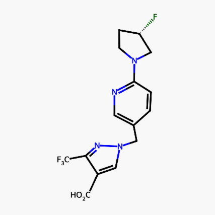 O=C(O)c1cn(Cc2ccc(N3CC[C@H](F)C3)nc2)nc1C(F)(F)F